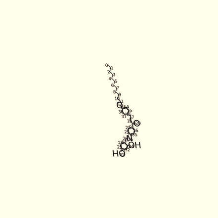 CCCCCCCCCCCCOc1ccc(C=CC(=O)c2ccc(N=Cc3ccc(O)cc3O)cc2)cc1